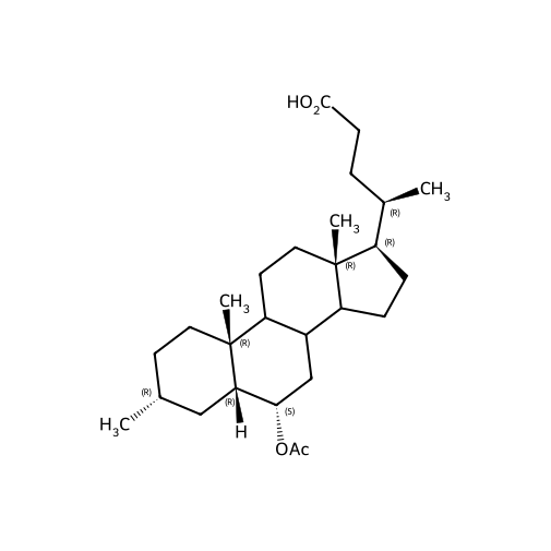 CC(=O)O[C@H]1CC2C3CC[C@H]([C@H](C)CCC(=O)O)[C@@]3(C)CCC2[C@@]2(C)CC[C@@H](C)C[C@@H]12